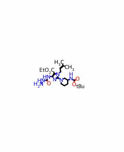 CCOC(=O)c1c(NC(=O)NN)nc(N2CCCC(NC(=O)OC(C)(C)C)C2)n1CC=C(C)C